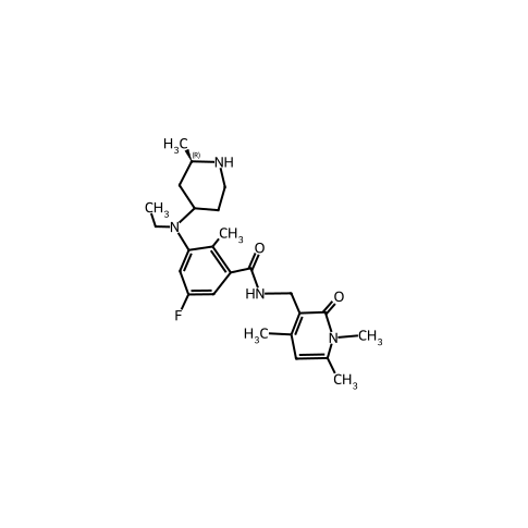 CCN(c1cc(F)cc(C(=O)NCc2c(C)cc(C)n(C)c2=O)c1C)C1CCN[C@H](C)C1